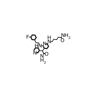 NC(=O)CCCCNc1ccc(C(C(N)=O)c2cccnc2)c(NCCc2cccc(F)c2)n1